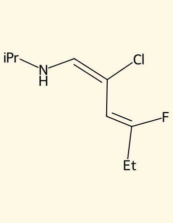 CC/C(F)=C/C(Cl)=C\NC(C)C